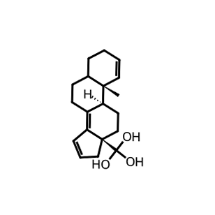 C[C@]12C=CCCC1CCC1=C3C=CC[C@@]3(C(O)(O)O)CC[C@@H]12